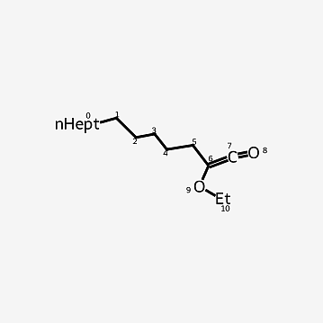 CCCCCCCCCCCCC(=C=O)OCC